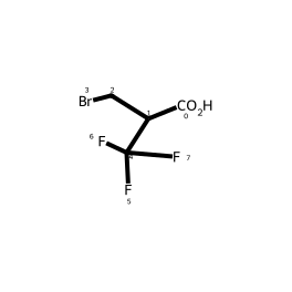 O=C(O)C(CBr)C(F)(F)F